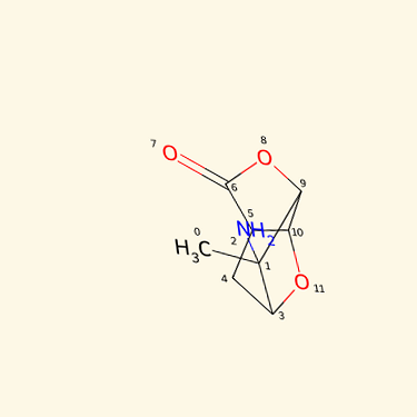 CC1(N)C2CC3C(=O)OC1C3O2